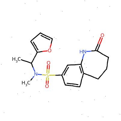 CC(c1ccco1)N(C)S(=O)(=O)c1ccc2c(c1)NC(=O)CCC2